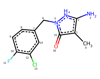 Cc1c(N)[nH]n(Cc2ccc(F)c(Cl)c2)c1=O